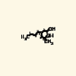 CCCCN(CCO)C[C@H](C)O